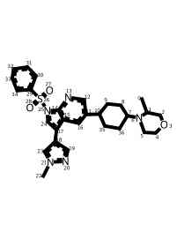 CC1COCCN1C1CCC(c2cnc3c(c2)c(-c2cnn(C)c2)cn3S(=O)(=O)c2ccccc2)CC1